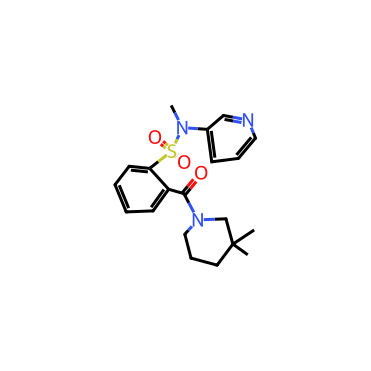 CN(c1cccnc1)S(=O)(=O)c1ccccc1C(=O)N1CCCC(C)(C)C1